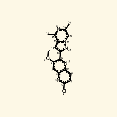 COc1cc2nc(Cl)ccc2nc1-c1cc2c(C)nc(C)cn2n1